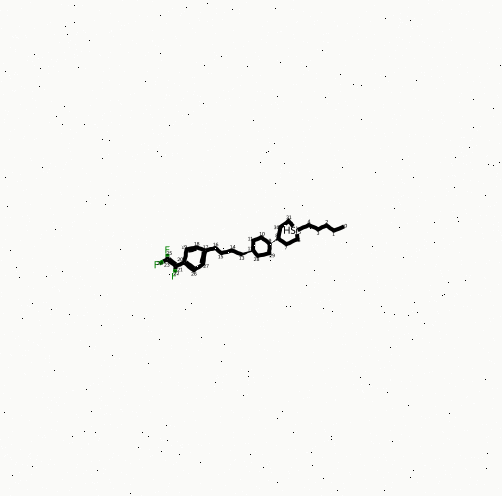 CCCCC[SiH]1CCC([C@H]2CC[C@H](CCCCc3ccc(C(F)=C(F)F)cc3)CC2)CC1